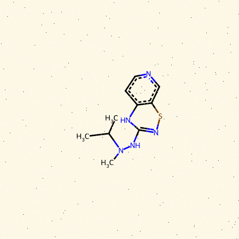 CC(C)N(C)NC1=NSc2cnccc2N1